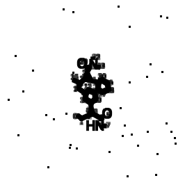 CCC1C(C(=O)NC)C1c1cccc(CC(C)C2C(C(=O)N(C)C)C2c2ccccc2)c1